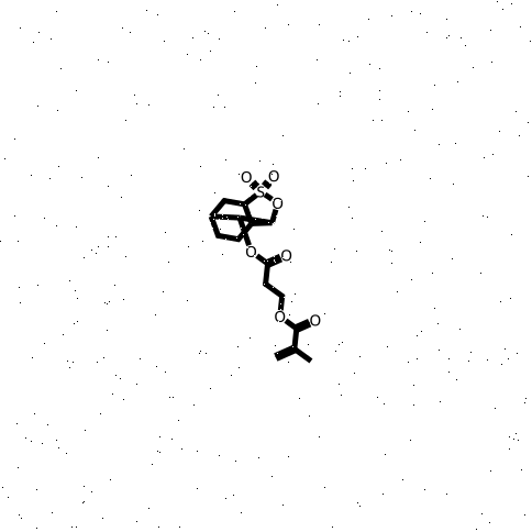 C=C(C)C(=O)OCCC(=O)OC1C2CCC3C1OS(=O)(=O)C3C2